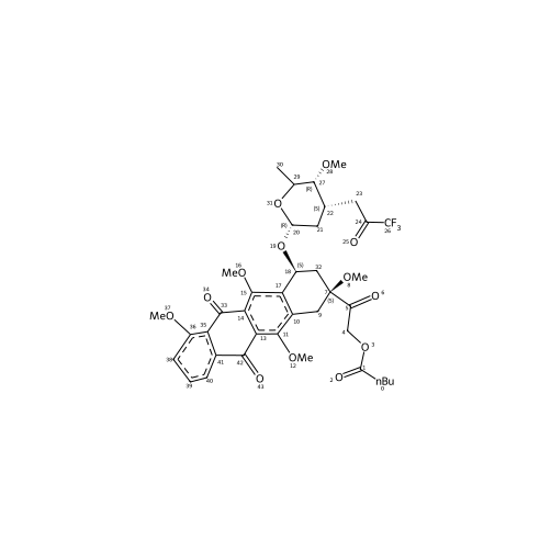 CCCCC(=O)OCC(=O)[C@]1(OC)Cc2c(OC)c3c(c(OC)c2[C@@H](O[C@H]2C[C@@H](CC(=O)C(F)(F)F)[C@@H](OC)C(C)O2)C1)C(=O)c1c(OC)cccc1C3=O